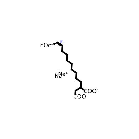 CCCCCCCC/C=C\CCCCCCCCC(CC(=O)[O-])C(=O)[O-].[Na+].[Na+]